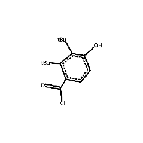 CC(C)(C)c1c(O)ccc(C(=O)Cl)c1C(C)(C)C